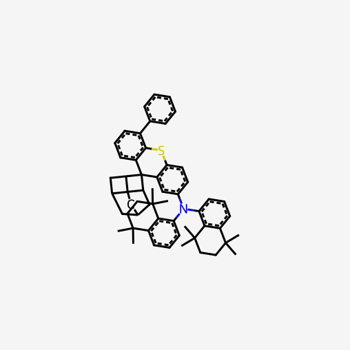 CC1(C)CCC(C)(C)c2c(N(c3ccc4c(c3)C3(c5cccc(-c6ccccc6)c5S4)C4CC5CC6CC3C64C5)c3cccc4c3C(C)(C)CCC4(C)C)cccc21